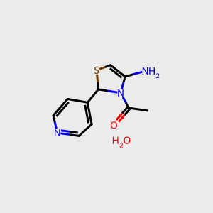 CC(=O)N1C(N)=CSC1c1ccncc1.O